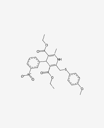 CCOC(=O)C1=C(C)NC(CSc2ccc(OC)cc2)=C(C(=O)OCC)C1c1cccc([N+](=O)[O-])c1